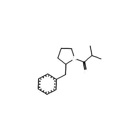 CC(C)C(=O)N1CCCC1Cc1ccccc1